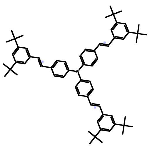 CC(C)(C)c1cc(/C=C/c2ccc(N(c3ccc(/C=C/c4cc(C(C)(C)C)cc(C(C)(C)C)c4)cc3)c3ccc(/C=C/c4cc(C(C)(C)C)cc(C(C)(C)C)c4)cc3)cc2)cc(C(C)(C)C)c1